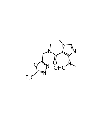 CN(Cc1nnc(C(F)(F)F)o1)C(=O)c1c(N(C)C=O)ncn1C